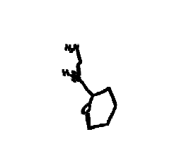 NC[SiH2]C1CCCCO1